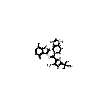 Cc1ccc(C)c2oc([C@H]3c4nc[nH]c4CCN3C(=O)c3oc(C(C)(C)O)nc3C(F)(F)F)cc12